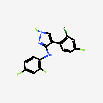 Fc1ccc(Nc2nn(F)cc2-c2ccc(F)cc2Cl)c(F)c1